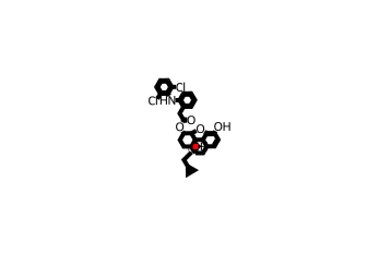 O=C(Cc1ccccc1Nc1c(Cl)cccc1Cl)OC1CC[C@@]2(O)C3CC4C=CC(O)=C5OC1C2(CCN3CC1CC1)C54